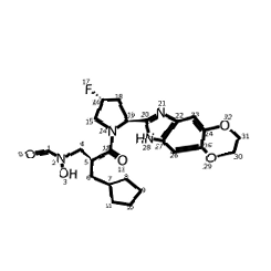 O=CN(O)C[C@H](CC1CCCC1)C(=O)N1C[C@H](F)C[C@H]1c1nc2cc3c(cc2[nH]1)OCCO3